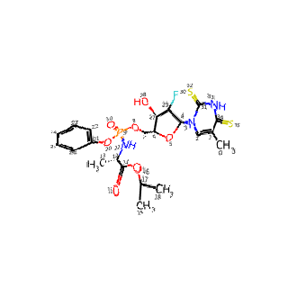 Cc1cn([C@H]2O[C@@H](COP(=O)(N[C@@H](C)C(=O)OC(C)C)Oc3ccccc3)[C@@H](O)C2F)c(=S)[nH]c1=S